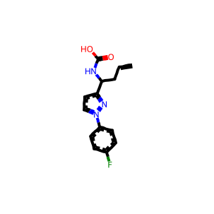 C=CCC(NC(=O)O)c1ccn(-c2ccc(F)cc2)n1